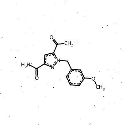 COc1cccc(Cn2nc(C(N)=O)cc2C(C)=O)c1